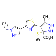 CC1=C(c2nc(-c3cnn(CC(F)(F)F)c3)cs2)C(SC(C)C)(C(=O)O)NN1